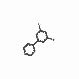 Brc1cc(Br)cc(-c2ccncc2)c1